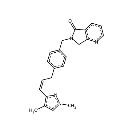 Cc1cn(C)nc1/C=C\Cc1ccc(CN2Cc3ncccc3C2=O)cc1